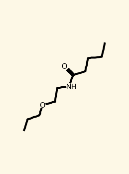 CCCCC(=O)NCCOCCC